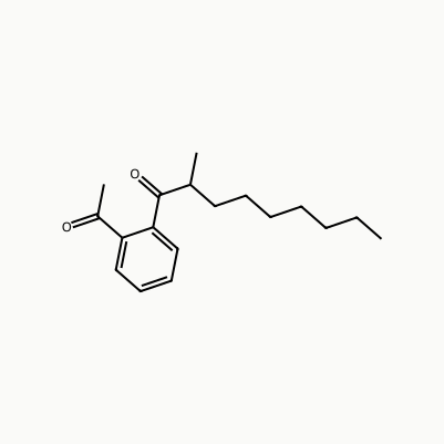 CCCCCCCC(C)C(=O)c1ccccc1C(C)=O